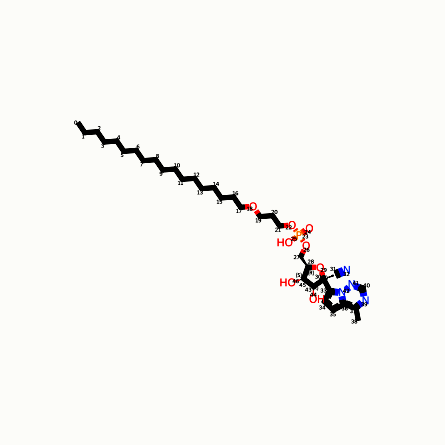 CCCCCCCCCCCCCCCCCCOCCCOP(=O)(O)OC[C@H]1O[C@@](C#N)(c2ccc3c(C)ncnn23)[C@H](O)[C@@H]1O